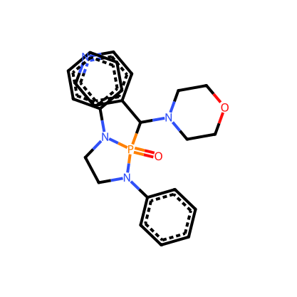 O=P1(C(c2ccncc2)N2CCOCC2)N(c2ccccc2)CCN1c1ccccc1